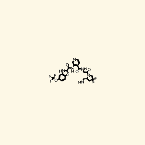 N=C[C@@H]1CC(F)(F)CN1C(=O)CNC(=O)c1ccncc1NC(=O)C1Nc2cc(OC(F)(F)F)ccc2S1